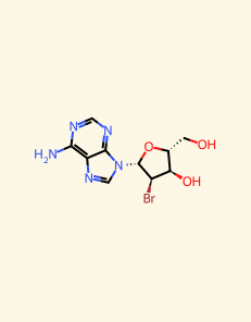 Nc1ncnc2c1ncn2[C@@H]1O[C@H](CO)[C@@H](O)[C@H]1Br